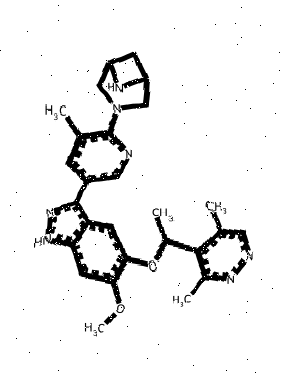 COc1cc2[nH]nc(-c3cnc(N4CC5CC(C4)N5)c(C)c3)c2cc1OC(C)c1c(C)cnnc1C